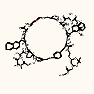 CCCCOC(=O)C[C@H]1C[C@@H](CCNC(=O)[C@@H]2Cc3ccc(cc3)OCc3cn(nn3)[C@@H]3CCN(C(=O)[C@@H](NC(=O)[C@H](C)N(C)C(=O)OC(C)(C)C)C(C)(C)C)[C@@H]3C(=O)N[C@@H](Cc3ccc4ccccc4c3)C(=O)N[C@H](C(=O)OC)Cc3ccc(cc3)OCC3CN(N=N3)[C@H](N(CCC)C(=O)[C@@H](NC(=O)[C@H](C)N(C)C(=O)OC(C)(C)C)C(C)(C)C)C(=O)N[C@@H](Cc3ccc4ccccc4c3)C(=O)N2)OC(C)(C)O1